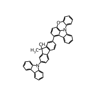 CC1(C)c2cc(-c3ccc4c5c3c3ccccc3n5-c3ccccc3O4)ccc2-c2ccc(-n3c4ccccc4c4ccccc43)cc21